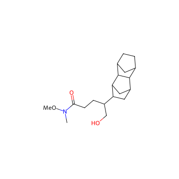 CON(C)C(=O)CCC(CO)C1CC2CC1C1C3CCC(C3)C21